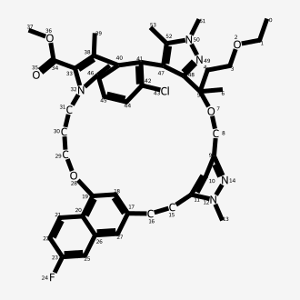 CCOCCC1(C)OCc2cc(n(C)n2)CCc2cc(c3ccc(F)cc3c2)OCCCn2c(C(=O)OC)c(C)c3c(c(Cl)ccc32)-c2c1nn(C)c2C